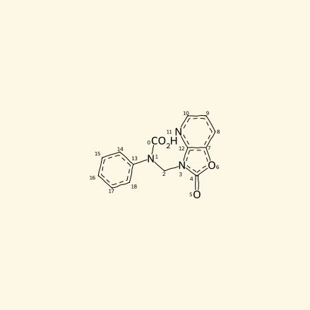 O=C(O)N(Cn1c(=O)oc2cccnc21)c1ccccc1